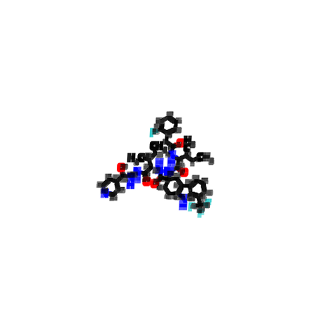 CCC(C)[C@H](NC(=O)Cc1ccccc1F)C(=O)N[C@]1(C(=O)N[C@H](C(=O)NNC(=O)c2ccncc2)C(C)CC)CCc2[nH]c3c(C(F)(F)F)cccc3c2C1